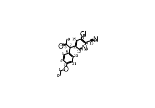 CCOc1ccc(C(C(C)=O)c2cnc(C#N)c(Cl)c2)cc1